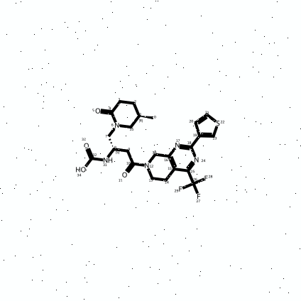 C[C@@H]1CCC(=O)N(C[C@H](CC(=O)N2CCc3c(nc(-c4ccsc4)nc3C(F)(F)F)C2)NC(=O)O)C1